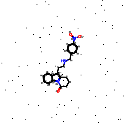 O=C1CCCc2c(CCNCc3ccc([N+](=O)[O-])cc3)c3ccccc3n21